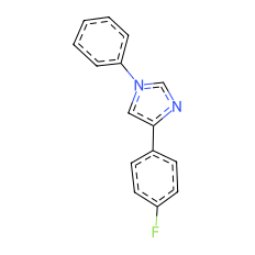 Fc1ccc(-c2cn(-c3ccccc3)cn2)cc1